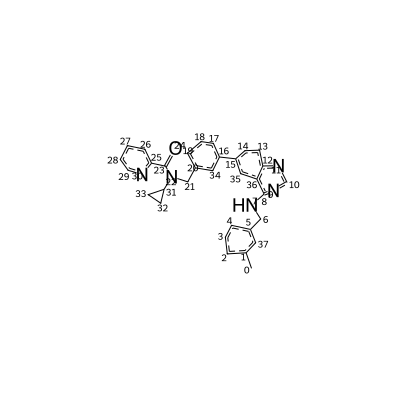 Cc1cccc(CNc2ncnc3ccc(-c4cccc(CN(C(=O)c5ccccn5)C5CC5)c4)cc23)c1